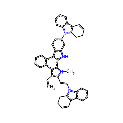 C=Cc1c(/C=C/n2c3c(c4ccccc42)C=CCC3)n(C)c2c3[nH]c4cc(-n5c6c(c7ccccc75)C=CCC6)ccc4c3c3ccccc3c12